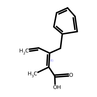 C=C/C(Cc1ccccc1)=C(\C)C(=O)O